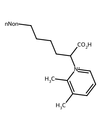 CCCCCCCCCCCCCC(C(=O)O)[n+]1cccc(C)c1C